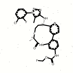 Cc1c(N[C@H]2CCC[C@@H](C)C(=O)Nc3cc(NC(=O)OCF)ccc3-c3ccnc2c3)nnn1-c1cccc(Cl)c1F